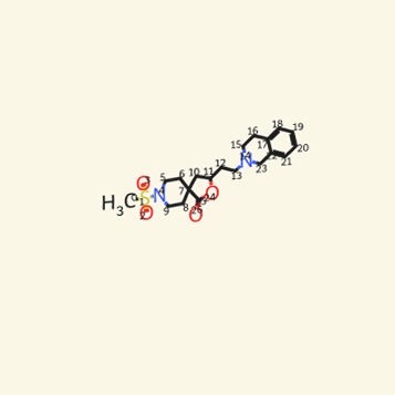 CS(=O)(=O)N1CCC2(CC1)CC(CCN1CCc3ccccc3C1)OC2=O